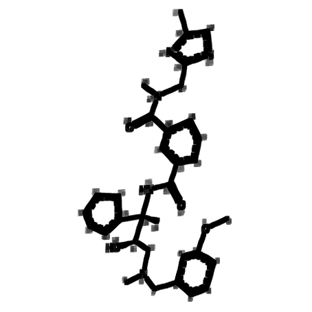 COc1cccc(CN(C)C[C@@H](O)[C@@](C)(NC(=O)c2cccc(C(=O)N(C)Cc3nc(C)cs3)c2)c2ccccc2)c1